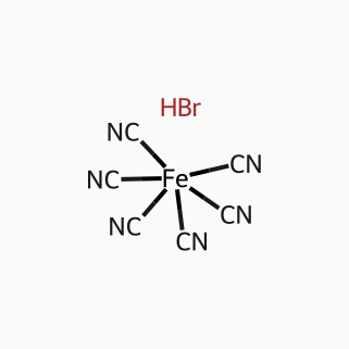 Br.N#[C][Fe]([C]#N)([C]#N)([C]#N)([C]#N)[C]#N